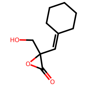 O=C1OC1(C=C1CCCCC1)CO